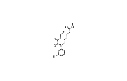 C=C(CCF)C(=O)N(CCCCCC(=O)OC)c1cccc(Br)c1